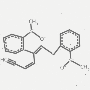 C#C/C=C\C(=C/Cc1ccccc1[S+](C)[O-])c1ccccc1[S+](C)[O-]